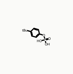 CC(C)(C)c1ccc(OP(=O)(O)O)cc1